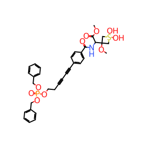 COC(=O)C(NC(=O)c1ccc(C#CC#CCCOP(=O)(OCc2ccccc2)OCc2ccccc2)cc1)C1(OC)CS(O)(O)C1